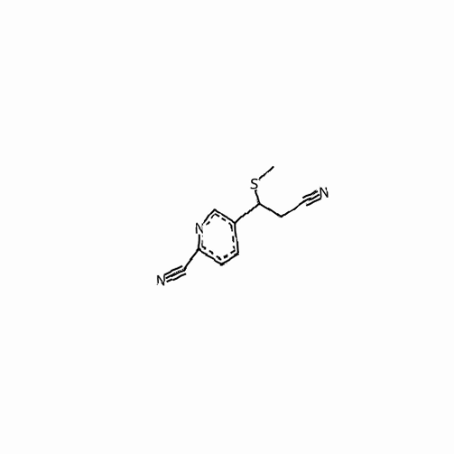 CSC(CC#N)c1ccc(C#N)nc1